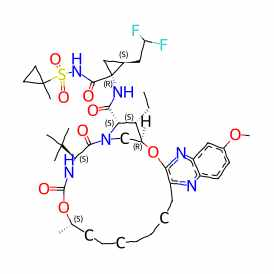 CC[C@@H]1[C@@H]2CN(C(=O)[C@H](C(C)(C)C)NC(=O)O[C@@H](C)CCCCCCCc3nc4ccc(OC)cc4nc3O2)[C@@H]1C(=O)N[C@]1(C(=O)NS(=O)(=O)C2(C)CC2)C[C@H]1CC(F)F